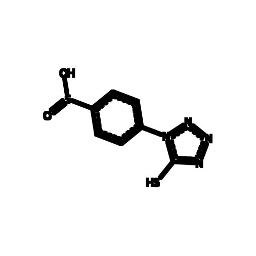 O=S(O)c1ccc(-n2nnnc2S)cc1